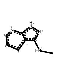 CNc1n[nH]c2ncccc12